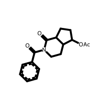 CC(=O)OC1CCC2C(=O)N(C(=O)c3ccccc3)CCC12